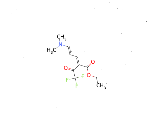 CCOC(=O)/C(=C/C=C/N(C)C)C(=O)C(F)(F)F